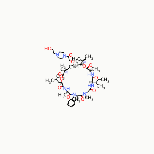 C/C=C(\C)[C@H]1OC(=O)[C@@H](C)NC(=O)[C@H](C(C)CC)NC(=O)CN(C)C(=O)[C@@H](Cc2ccccc2)N(C)C(=O)[C@H](C)NC(=O)[C@@H](CC(C)C)OC(=O)/C(C)=C/C[C@H](OCC(=O)N2CCN(CCO)CC2)[C@@H]1C